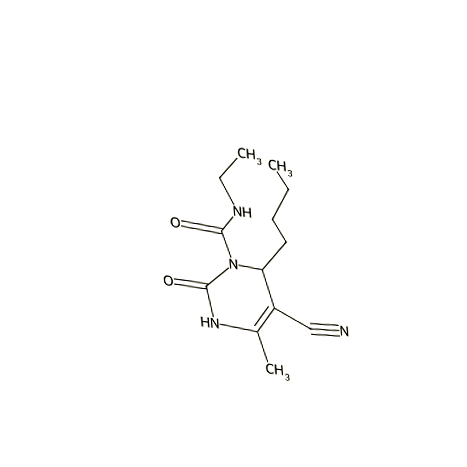 CCCCC1C(C#N)=C(C)NC(=O)N1C(=O)NCC